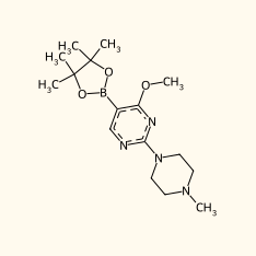 COc1nc(N2CCN(C)CC2)ncc1B1OC(C)(C)C(C)(C)O1